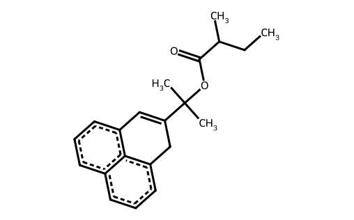 CCC(C)C(=O)OC(C)(C)C1=Cc2cccc3cccc(c23)C1